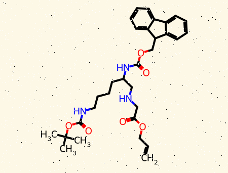 C=CCOC(=O)CNCC(CCCCNC(=O)OC(C)(C)C)NC(=O)OCC1c2ccccc2-c2ccccc21